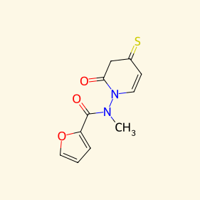 CN(C(=O)c1ccco1)N1C=CC(=S)CC1=O